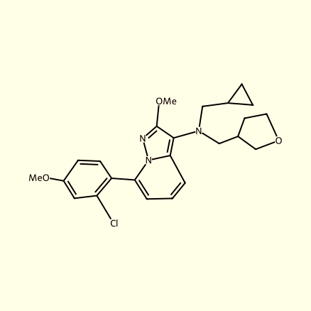 COc1ccc(-c2cccc3c(N(CC4CC4)CC4CCOC4)c(OC)nn23)c(Cl)c1